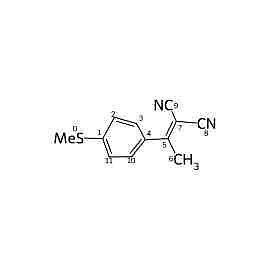 CSc1ccc(C(C)=C(C#N)C#N)cc1